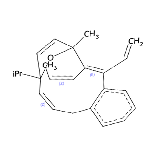 C=C/C1=C(/C=C\C)C2(C)C=CC(C(C)C)(/C=C\Cc3ccccc31)O2